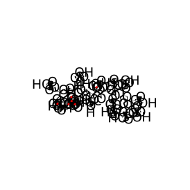 CO[C@@H]([C@H](OC)[C@@H](CO[C@@H]1O[C@H](CO[SH](=O)=O)[C@@H](O[C@@H]2O[C@H](CO[SH](=O)=O)[C@H](OS(=O)(=O)O)[C@H](OS(=O)(=O)O)[C@H]2OS(=O)(=O)O)[C@H](OS(=O)(=O)O)[C@H]1O[SH](=O)=O)OS(=O)(=O)O)[C@@H](CO[C@@H]1O[C@H](COS(=O)(=O)O)[C@@H](O[C@@H]2O[C@H](COS(=O)(=O)O)[C@H](OS(=O)(=O)O)[C@H](O[SH](=O)=O)[C@H]2O[SH](=O)=O)[C@H](O[SH](=O)=O)[C@H]1OS(=O)(=O)O)O[SH](=O)=O